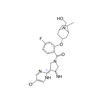 CC1CC2CC(Oc3cc(F)ccc3C(=O)N3CC(=N)/C(=C4/N=CC(Cl)=CN4)C3)CC1N2CO